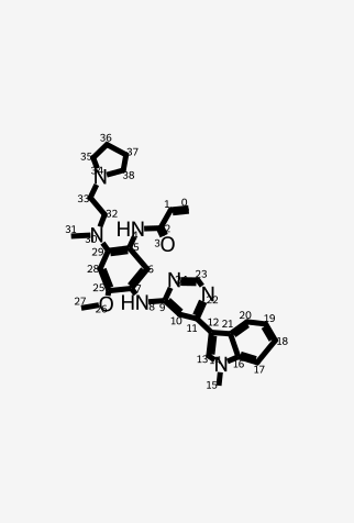 C=CC(=O)Nc1cc(Nc2cc(-c3cn(C)c4ccccc34)ncn2)c(OC)cc1N(C)CCN1CCCC1